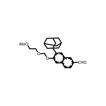 COCCOCOc1cc2ccc(C=O)cc2cc1C12CC3CC(CC(C3)C1)C2